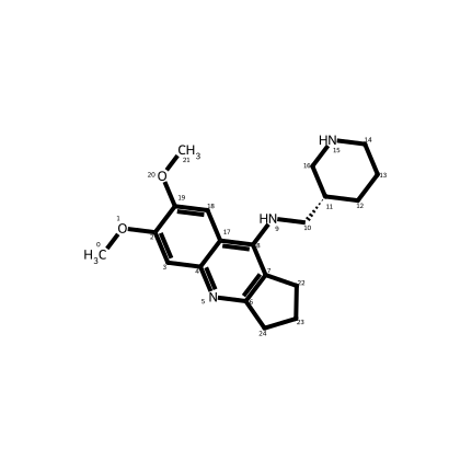 COc1cc2nc3c(c(NC[C@H]4CCCNC4)c2cc1OC)CCC3